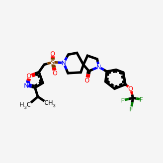 CC(C)c1cc(CS(=O)(=O)N2CCC3(CCN(c4ccc(OC(F)(F)F)cc4)C3=O)CC2)on1